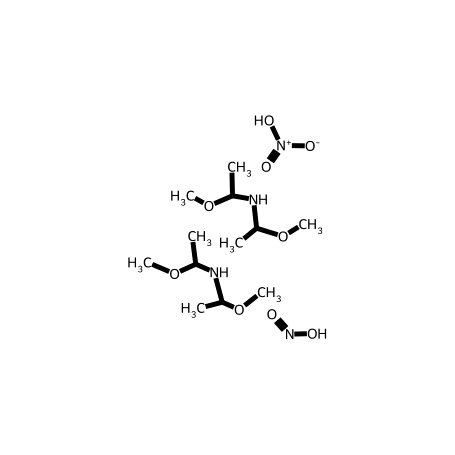 COC(C)NC(C)OC.COC(C)NC(C)OC.O=NO.O=[N+]([O-])O